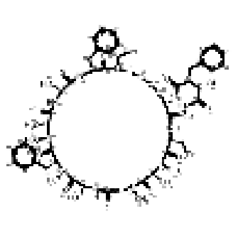 CC(C)C[C@@H]1NC(=O)[C@@H](NC(=O)[C@@H](Cc2ccccc2)[C@H](O)C(N)=O)CCCCN(CC(C)C)C(=O)[C@H](Cc2ccccc2)NC(=O)[C@H](C)NC(=O)[C@H](C)N(C)C(=O)[C@H](Cc2ccccc2)N(C)C(=O)[C@H](C)NC(=O)CN(C)C(=O)[C@H](C)N(C)C1=O